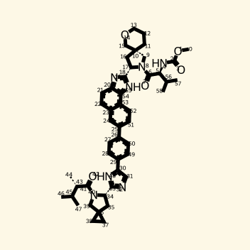 COC(=O)N[C@H](C(=O)N1C[C@]2(CCCOC2)C[C@H]1c1nc2ccc3cc(-c4ccc(-c5cnc([C@@H]6CC7(CC7)CN6C(=O)[C@@H](C)C(C)C)[nH]5)cc4)ccc3c2[nH]1)C(C)C